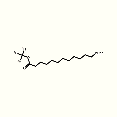 [2H]C([2H])([2H])OC(=O)CCCCCCCCCCCCCCCCCCCCC